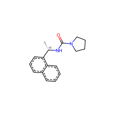 C[C@H](NC(=O)N1CCCC1)c1cccc2ccccc12